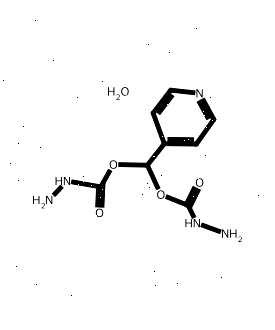 NNC(=O)OC(OC(=O)NN)c1ccncc1.O